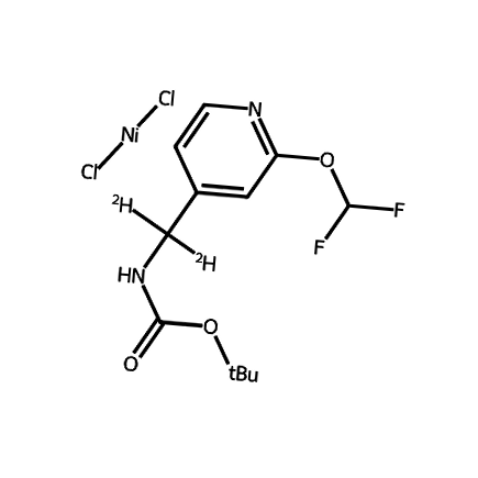 [2H]C([2H])(NC(=O)OC(C)(C)C)c1ccnc(OC(F)F)c1.[Cl][Ni][Cl]